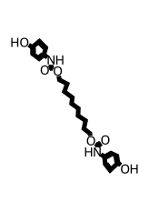 O=C(Nc1ccc(O)cc1)OCCCCCCCCCCOC(=O)Nc1ccc(O)cc1